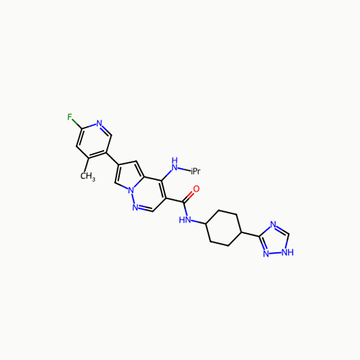 Cc1cc(F)ncc1-c1cc2c(NC(C)C)c(C(=O)NC3CCC(c4nc[nH]n4)CC3)cnn2c1